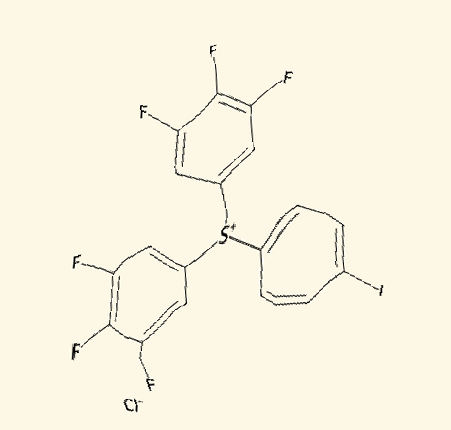 Fc1cc([S+](c2ccc(I)cc2)c2cc(F)c(F)c(F)c2)cc(F)c1F.[Cl-]